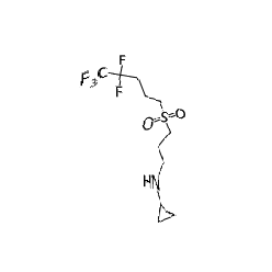 O=S(=O)(CCCNC1CC1)CCCC(F)(F)C(F)(F)F